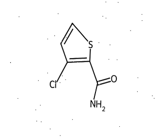 NC(=O)c1sccc1Cl